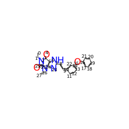 CCn1c(=O)c2[nH]c(C=Cc3cccc(Oc4ccccc4)c3)nc2n(CC)c1=O